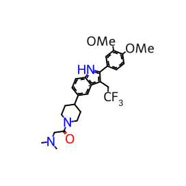 COc1ccc(-c2[nH]c3ccc(C4CCN(C(=O)CN(C)C)CC4)cc3c2CC(F)(F)F)cc1OC